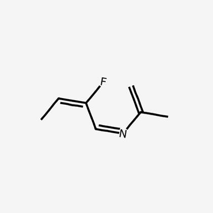 C=C(C)/N=C\C(F)=C/C